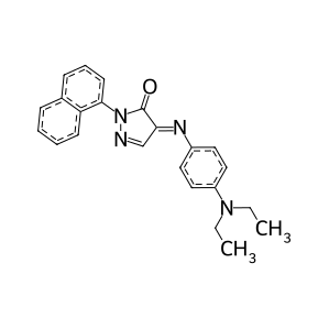 CCN(CC)c1ccc(N=C2C=NN(c3cccc4ccccc34)C2=O)cc1